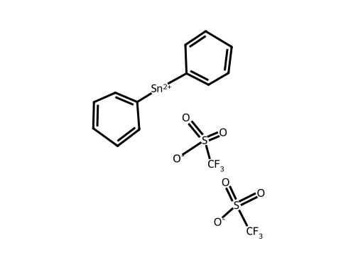 O=S(=O)([O-])C(F)(F)F.O=S(=O)([O-])C(F)(F)F.c1cc[c]([Sn+2][c]2ccccc2)cc1